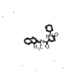 C[C@@H](NC(=O)c1ccc(=O)n(-c2ccccc2)n1)c1ccc2ccccc2c1